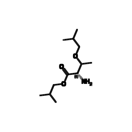 CC(C)COC(=O)[C@@H](N)C(C)OCC(C)C